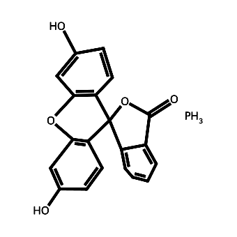 O=C1OC2(c3ccc(O)cc3Oc3cc(O)ccc32)c2ccccc21.P